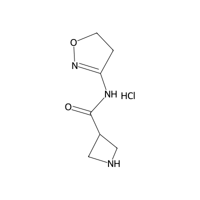 Cl.O=C(NC1=NOCC1)C1CNC1